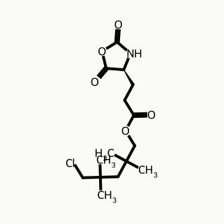 CC(C)(CCl)CC(C)(C)COC(=O)CC[C@@H]1NC(=O)OC1=O